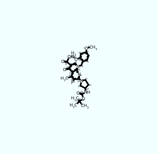 COc1ccc(Cn2cc(C(=O)O)c(=O)c3c(C)c(F)c(N4CCC(NC(=O)OC(C)(C)C)C4)nc32)c(OC)c1